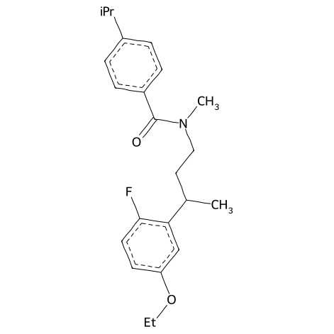 CCOc1ccc(F)c(C(C)CCN(C)C(=O)c2ccc(C(C)C)cc2)c1